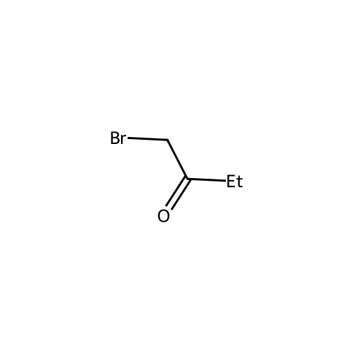 [CH2]CC(=O)CBr